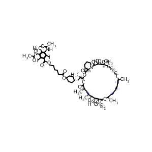 CO[C@H]1C(=O)[C@H](C)C[C@H](C)/C=C/C=C/C=C(\C)CCCCC[C@@H](C)C(O)(O)C(=O)C(=O)N2CCCC[C@H]2C(=O)O[C@H]([C@H](C)C[C@H]2CC[C@H](OC(=O)CCCCCOC(=O)c3c(I)c(NC(C)=O)c(C)c(NC(C)=O)c3I)CC2)CC(=O)[C@H](C)/C=C(\C)[C@H]1O